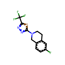 Fc1ccc2c(c1)CCN(c1nnc(C(F)(F)F)s1)C2